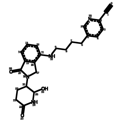 C#Cc1ccc(CCCCNc2cccc3c2CN(C2CCC(=O)NC2O)C3=O)cn1